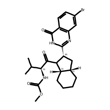 COC(=O)N[C@H](C(=O)C1[C@H]2CCCC[C@H]2C[C@H]1c1nc2cc(Br)ccc2c(=O)[nH]1)C(C)C